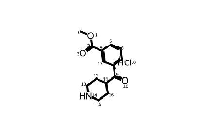 COC(=O)c1cccc(C(=O)C2CCNCC2)c1.Cl